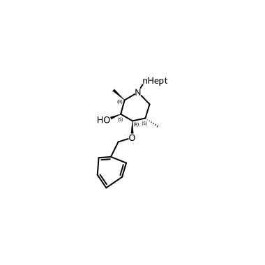 CCCCCCCN1C[C@H](C)[C@@H](OCc2ccccc2)[C@@H](O)[C@H]1C